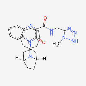 CN1NN=NC1CNC(=O)c1nc2ccccc2n([C@H]2C[C@H]3CC[C@@H](C2)N3C2CCCCCCC2)c1=O